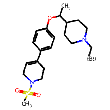 CC(Oc1ccc(C2=CCN(S(C)(=O)=O)CC2)cc1)C1CCN(CC(C)(C)C)CC1